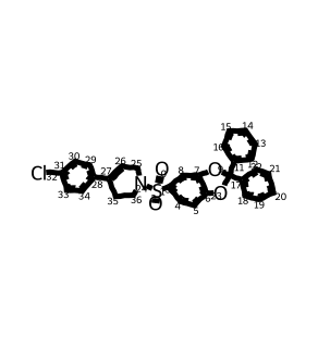 O=S(=O)(c1ccc2c(c1)OC(c1ccccc1)(c1ccccc1)O2)N1CC=C(c2ccc(Cl)cc2)CC1